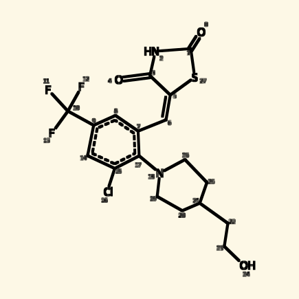 O=C1NC(=O)/C(=C\c2cc(C(F)(F)F)cc(Cl)c2N2CCC(CCO)CC2)S1